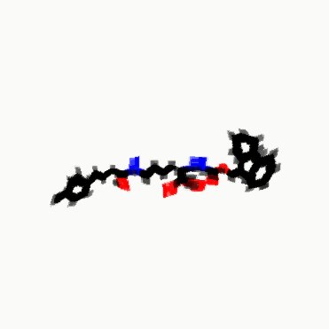 Cc1ccc(CCCC(=O)NCCCC[C@H](NC(=O)OCC2c3ccccc3-c3ccccc32)C(=O)O)cc1